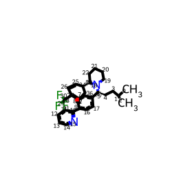 CC(C)CC[C@@H](c1ccc(-c2ccccn2)cc1)N1CCCC[C@@H]1C1C=CC(C(F)(F)F)=CC1